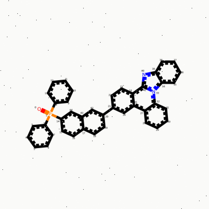 O=P(c1ccccc1)(c1ccccc1)c1ccc2ccc(-c3ccc4c(c3)c3ccccc3n3c5ccccc5nc43)cc2c1